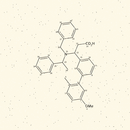 COc1ccc(C)c(-c2cccc(C(CC(=O)O)N(Cc3ccccc3)C(C)c3ccccc3)c2)c1